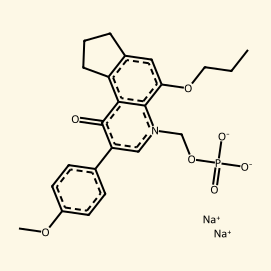 CCCOc1cc2c(c3c(=O)c(-c4ccc(OC)cc4)cn(COP(=O)([O-])[O-])c13)CCC2.[Na+].[Na+]